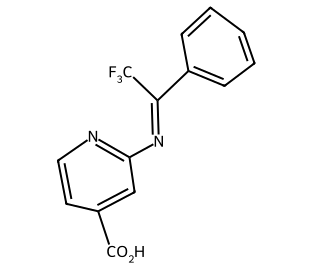 O=C(O)c1ccnc(/N=C(/c2ccccc2)C(F)(F)F)c1